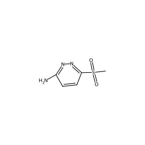 CS(=O)(=O)c1ccc(N)nn1